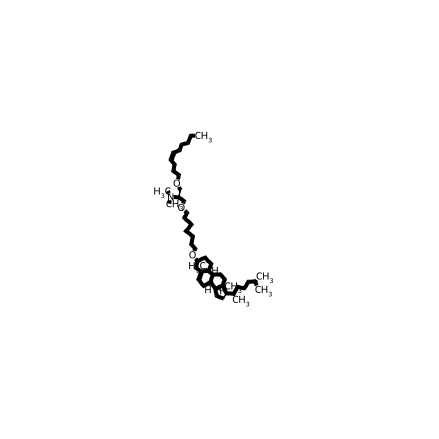 CCCCC/C=C\CCCOC[C@@H](COCCCCCCCOC1CC[C@@]2(C)C(=CC[C@H]3[C@@H]4CC[C@H]([C@H](C)CCCC(C)C)[C@@]4(C)CC[C@@H]32)C1)N(C)C